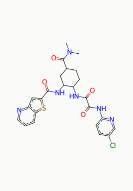 CN(C)C(=O)C1CCC(NC(=O)C(=O)Nc2ccc(Cl)cn2)C(NC(=O)c2cc3ncccc3s2)C1